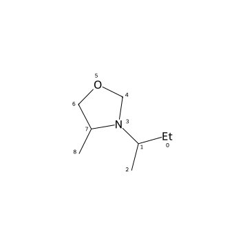 CCC(C)N1COCC1C